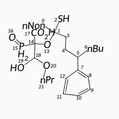 CCCCCCCCCC(S)(CCC(CCCC)c1ccccc1)OC([PH2]=O)(C(=O)O)C(O)OCCC